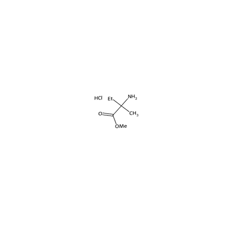 CCC(C)(N)C(=O)OC.Cl